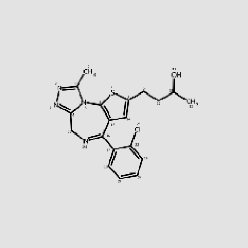 Cc1nnc2n1-c1sc(CCC(C)O)cc1C(c1ccccc1Cl)=NC2